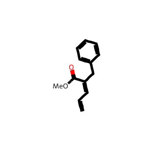 C=CC=C(Cc1ccccc1)C(=O)OC